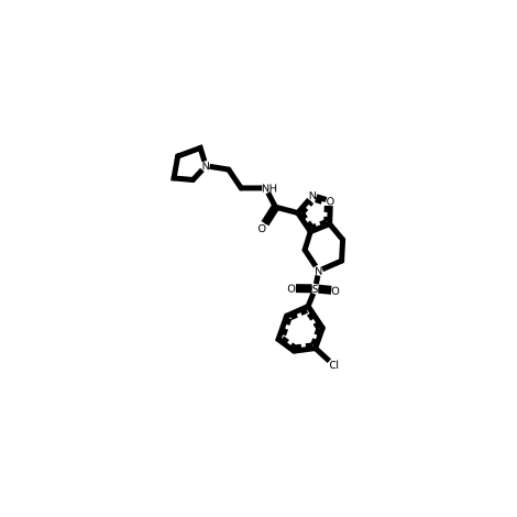 O=C(NCCN1CCCC1)c1noc2c1CN(S(=O)(=O)c1cccc(Cl)c1)CC2